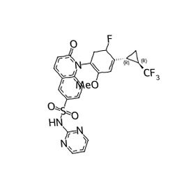 COC1=C(n2c(=O)ccc3cc(S(=O)(=O)Nc4ncccn4)ccc32)CC(F)C([C@@H]2C[C@H]2C(F)(F)F)=C1